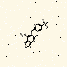 Cc1nc2nonc2c(N)c1Cc1ccc(S(C)(=O)=O)cn1